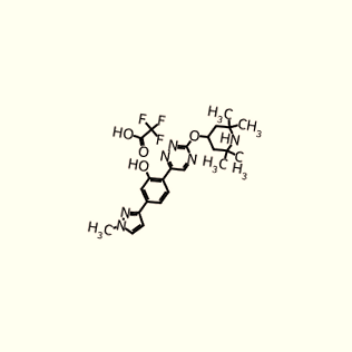 Cn1ccc(-c2ccc(-c3cnc(OC4CC(C)(C)NC(C)(C)C4)nn3)c(O)c2)n1.O=C(O)C(F)(F)F